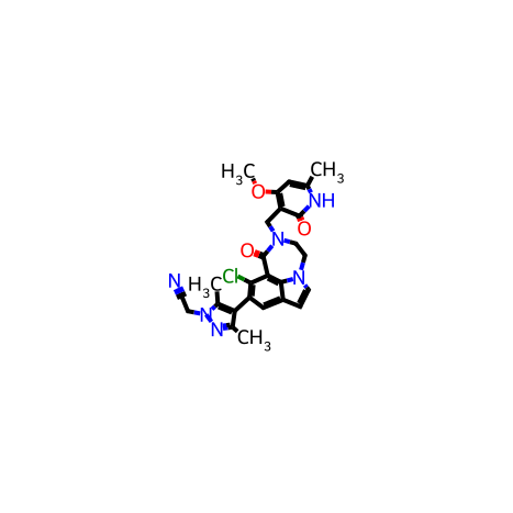 COc1cc(C)[nH]c(=O)c1CN1CCn2ccc3cc(-c4c(C)nn(CC#N)c4C)c(Cl)c(c32)C1=O